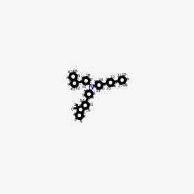 CC1(C)c2ccccc2-c2ccc(-c3ccc(N(c4ccc(-c5ccc(-c6ccccc6)cc5)cc4)c4cccc(-c5cccc6ccccc56)c4)cc3)cc21